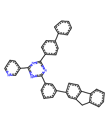 c1ccc(-c2ccc(-c3nc(-c4cccnc4)nc(-c4cccc(-c5ccc6c(c5)Cc5ccccc5-6)c4)n3)cc2)cc1